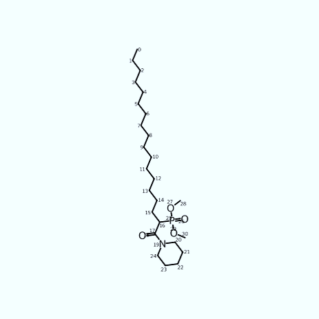 CCCCCCCCCCCCCCCCC(C(=O)N1CCCCC1)P(=O)(OC)OC